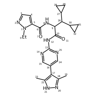 CCn1nccc1C(=O)NC(C(=O)Nc1ncc(-c2c(C)n[nH]c2C)cn1)C(C1CC1)C1CC1